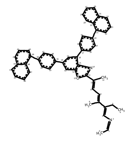 C\C=N/C=C(CC)/C(C)=C/C=C(\C)c1nc2c(-c3ccc(-c4cccc5ccccc45)cc3)cc(-c3ccc(-c4cccc5ccccc45)cc3)cc2o1